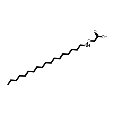 CCCCCCCCCCCCCCCCCCNOCC(=O)O